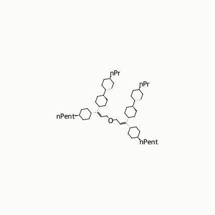 CCCCC[C@H]1CC[C@H](C(=CCOCC=C([C@H]2CC[C@H](CCCCC)CC2)[C@H]2CC[C@H]([C@H]3CC[C@H](CCC)CC3)CC2)[C@H]2CC[C@H]([C@H]3CC[C@H](CCC)CC3)CC2)CC1